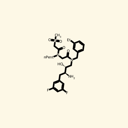 CCCCCN(CC(=O)N(Cc1cccc(CC)c1)C[C@@H](O)[C@@H](N)Cc1cc(F)cc(F)c1)C(=O)CS(C)(=O)=O